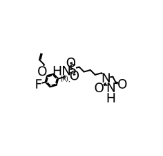 C=CCOc1cc([C@@H](C)NS(=O)(=O)CCCCCN2CC(=O)NC2=O)ccc1F